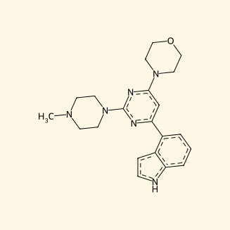 CN1CCN(c2nc(-c3cccc4[nH]ccc34)cc(N3CCOCC3)n2)CC1